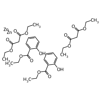 CCOC(=O)CC(=O)OCC.CCOC(=O)CC(=O)OCC.CCOC(=O)c1ccccc1O.CCOC(=O)c1ccccc1O.[Zn].[Zn]